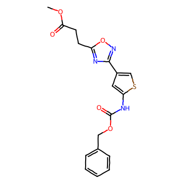 COC(=O)CCc1nc(-c2csc(NC(=O)OCc3ccccc3)c2)no1